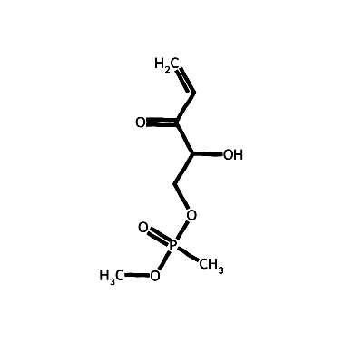 C=CC(=O)C(O)COP(C)(=O)OC